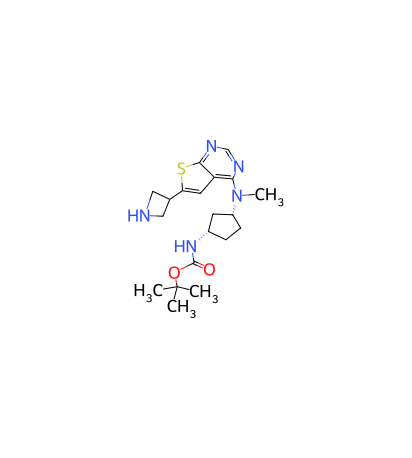 CN(c1ncnc2sc(C3CNC3)cc12)[C@@H]1CC[C@H](NC(=O)OC(C)(C)C)C1